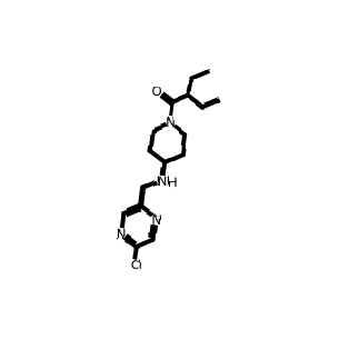 CCC(CC)C(=O)N1CCC(NCc2cnc(Cl)cn2)CC1